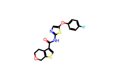 O=C(Nc1ncc(Oc2ccc(F)cc2)s1)c1csc2c1CCOC2